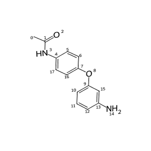 CC(=O)Nc1ccc(Oc2cccc(N)c2)cc1